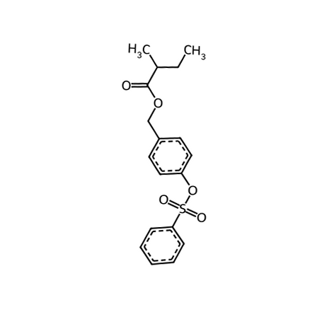 CCC(C)C(=O)OCc1ccc(OS(=O)(=O)c2ccccc2)cc1